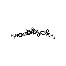 Cc1cc(-n2ccc(NC(=O)N3CCN(C(=O)C(C)(C)N)CC3)nc2=O)ccc1CNC1CCC(N)CC1